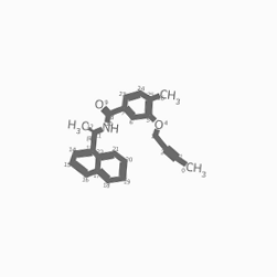 CC#CCOc1cc(C(=O)N[C@H](C)c2cccc3ccccc23)ccc1C